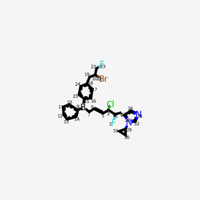 CC(F)C(Cl)C=CCB(c1ccccc1)c1ccc(CC(Br)CF)cc1.c1cn(C2CC2)cn1